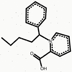 CCCCC(c1ccccc1)[n+]1ccccc1C(=O)O